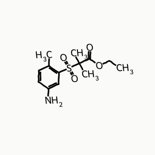 CCOC(=O)C(C)(C)S(=O)(=O)c1cc(N)ccc1C